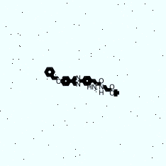 CNC(Cc1ccc(-c2ncc(-c3ccc(OCCC4CCCCC4)cc3)cn2)cc1)C(=O)NCCC(=O)OC(C)(C)C